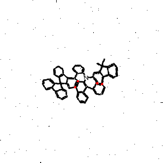 CC1(C)c2ccccc2-c2ccc(N(c3ccccc3-c3cccc4c3C3=C(C=CCC3)C43c4ccccc4-c4ccccc43)c3ccc4ccccc4c3-c3ccccc3)cc21